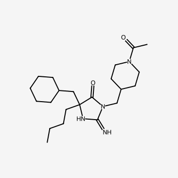 CCCCC1(CC2CCCCC2)NC(=N)N(CC2CCN(C(C)=O)CC2)C1=O